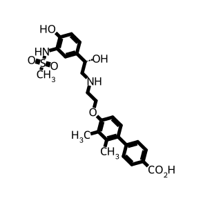 Cc1c(OCCNC[C@@H](O)c2ccc(O)c(NS(C)(=O)=O)c2)ccc(-c2ccc(C(=O)O)cc2)c1C